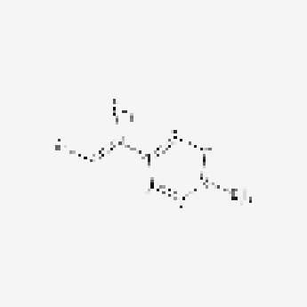 Bc1ccc(C(C)=CC(C)=O)cc1